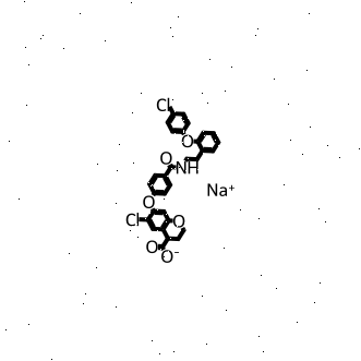 O=C(NCCc1ccccc1Oc1ccc(Cl)cc1)c1ccc(Oc2cc3c(cc2Cl)C(C(=O)[O-])CCO3)cc1.[Na+]